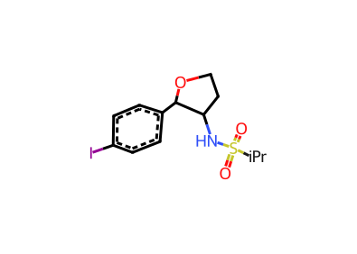 CC(C)S(=O)(=O)NC1CCOC1c1ccc(I)cc1